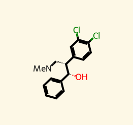 CNC[C@H](c1ccc(Cl)c(Cl)c1)[C@H](O)c1ccccc1